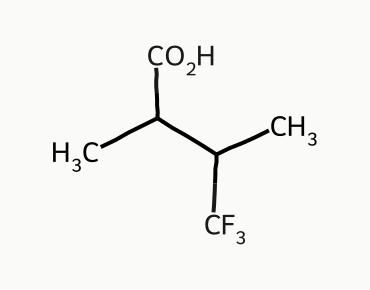 CC(C(=O)O)C(C)C(F)(F)F